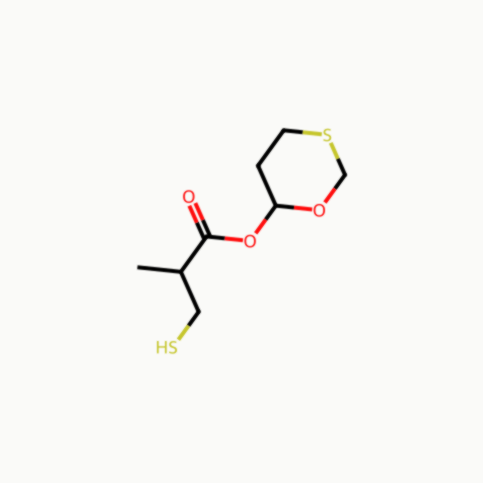 CC(CS)C(=O)OC1CCSCO1